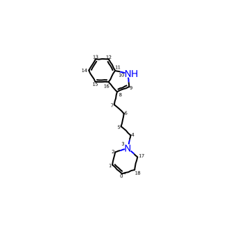 [C]1=CCN(CCCCc2c[nH]c3ccccc23)CC1